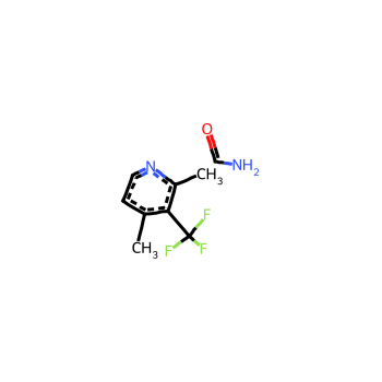 Cc1ccnc(C)c1C(F)(F)F.NC=O